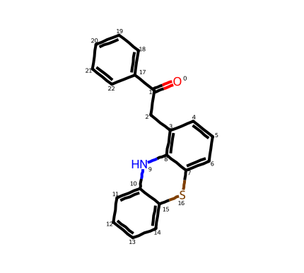 O=C(Cc1cccc2c1Nc1ccccc1S2)c1ccccc1